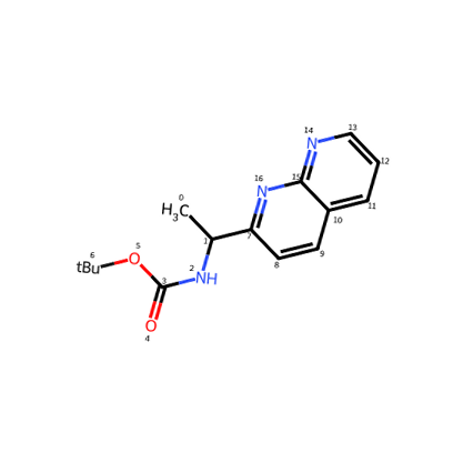 CC(NC(=O)OC(C)(C)C)c1ccc2cccnc2n1